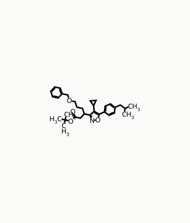 CC(C)Cc1ccc(-c2onc(C(CCCOCc3ccccc3)CC(=O)OC(C)(C)C)c2C2CC2)cc1